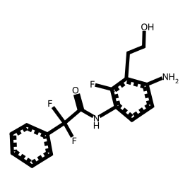 Nc1ccc(NC(=O)C(F)(F)c2ccccc2)c(F)c1CCO